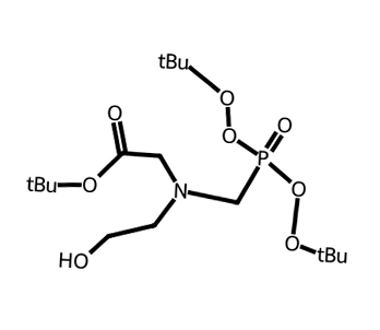 CC(C)(C)OOP(=O)(CN(CCO)CC(=O)OC(C)(C)C)OOC(C)(C)C